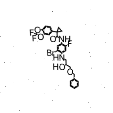 O=C(Nc1cc(Br)c(NCC(O)COCc2ccccc2)cc1F)C1(c2ccc3c(c2)OC(F)(F)O3)CC1